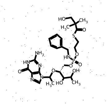 CC(O)C(O)[C@@H](COP(=O)(NCc1ccccc1)OCCSC(=O)C(C)(C)CO)OC(C)n1cnc2c(=O)[nH]c(N)nc21